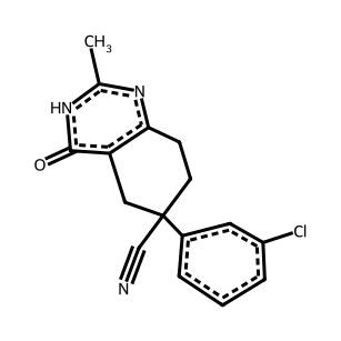 Cc1nc2c(c(=O)[nH]1)CC(C#N)(c1cccc(Cl)c1)CC2